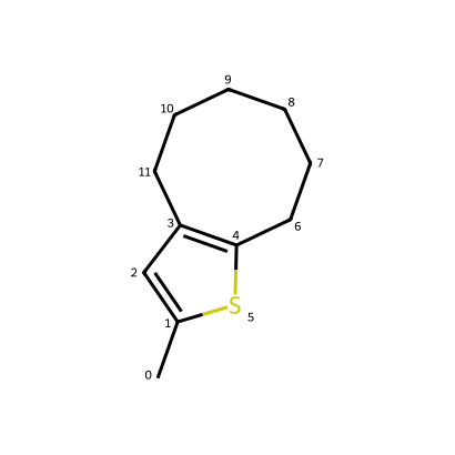 Cc1cc2c(s1)CCCCCC2